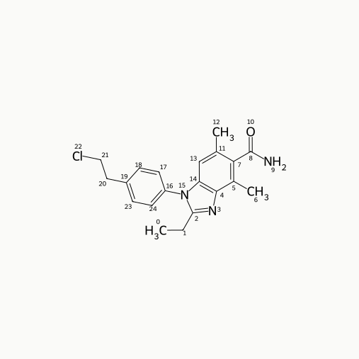 CCc1nc2c(C)c(C(N)=O)c(C)cc2n1-c1ccc(CCCl)cc1